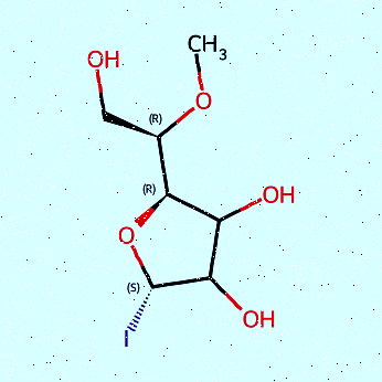 CO[C@H](CO)[C@@H]1O[C@@H](I)C(O)C1O